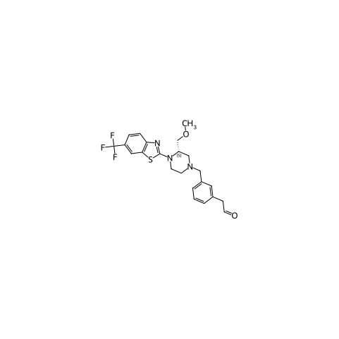 COC[C@@H]1CN(Cc2cccc(CC=O)c2)CCN1c1nc2ccc(C(F)(F)F)cc2s1